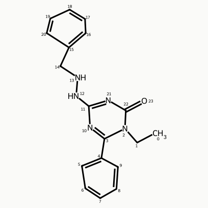 CCn1c(-c2ccccc2)nc(NNCc2ccccc2)nc1=O